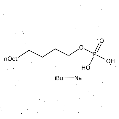 CCCCCCCCCCCCOP(=O)(O)O.CC[CH](C)[Na]